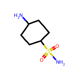 NC1CCC(S(N)(=O)=O)CC1